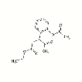 CCOC(=O)CN(C(C)=O)c1ccccc1OC(C)=O